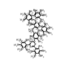 Bc1c(B)c(B)c(-c2nc(-c3c(B)c(B)c(B)c(B)c3B)nc(-c3c(B)c(B)c(-n4c5c(B)c(B)c(B)c(B)c5c5c(B)c(-n6c7c(B)c(B)c(B)c(B)c7c7c(B)c(B)c(B)c(B)c76)c(B)c(B)c54)c(B)c3B)n2)c(B)c1B